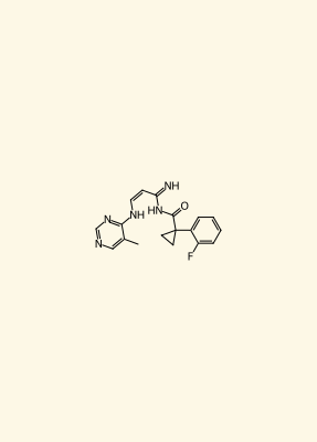 Cc1cncnc1N/C=C\C(=N)NC(=O)C1(c2ccccc2F)CC1